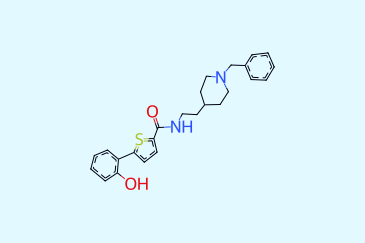 O=C(NCCC1CCN(Cc2ccccc2)CC1)c1ccc(-c2ccccc2O)s1